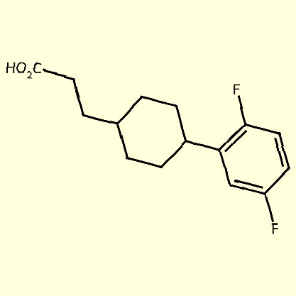 O=C(O)CCC1CCC(c2cc(F)ccc2F)CC1